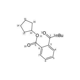 CCCCC(=O)c1ccccc1C(=O)OC1CCCC1